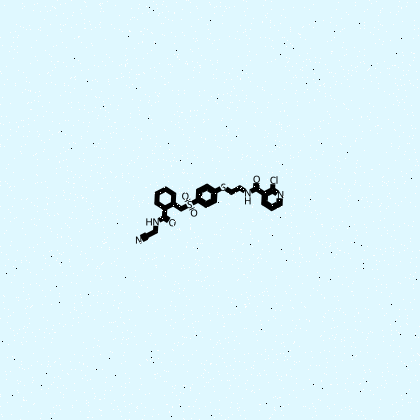 N#CCNC(=O)C1CCCCC1CS(=O)(=O)c1ccc(SCCNC(=O)c2cccnc2Cl)cc1